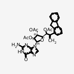 C=C(c1cccc2c1Cc1ccccc1-2)C(OC(C)=O)[C@H]1O[C@@H](n2cnc3c(=O)[nH]c(N)nc32)[C@H](OC(C)=O)[C@@H]1OC(C)=O